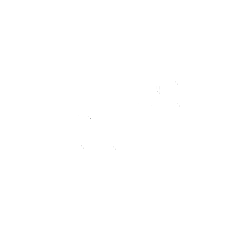 COc1cc(CN2C(=O)c3ccc(Cl)cc3NC(=O)C2Cc2ccccn2)ccc1C(=O)Nc1ncc(C)cn1